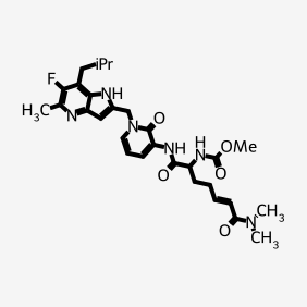 COC(=O)NC(CCC=CC(=O)N(C)C)C(=O)Nc1cccn(Cc2cc3nc(C)c(F)c(CC(C)C)c3[nH]2)c1=O